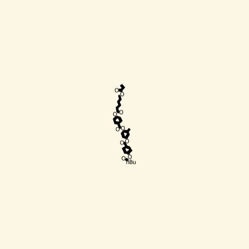 C=CC(=O)OCCCCCC(=O)Oc1ccc(C(=O)Oc2ccc(OC(=O)c3ccc(OC(=O)CCCC)cc3)cc2C)cc1